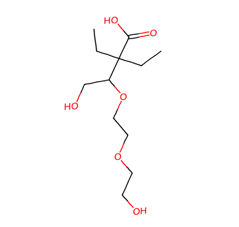 CCC(CC)(C(=O)O)C(CO)OCCOCCO